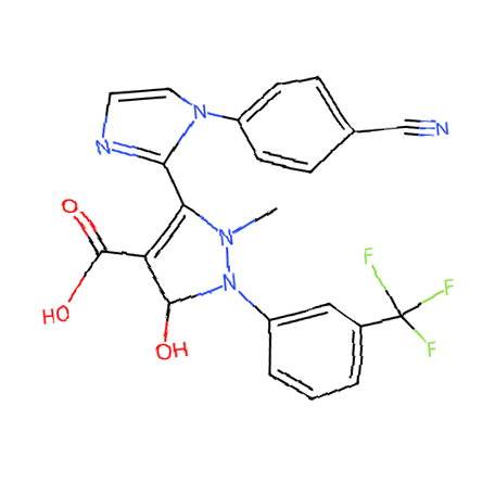 CN1C(c2nccn2-c2ccc(C#N)cc2)=C(C(=O)O)C(O)N1c1cccc(C(F)(F)F)c1